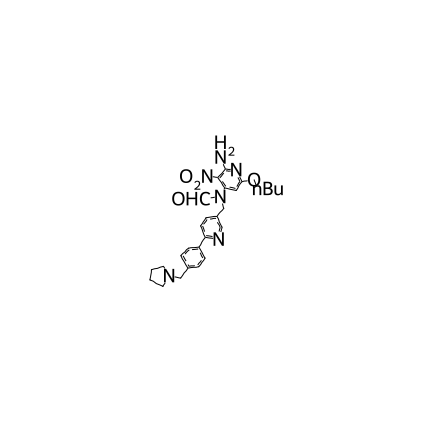 CCCCOc1cc(N(C=O)Cc2ccc(-c3ccc(CN4CCCC4)cc3)nc2)c([N+](=O)[O-])c(N)n1